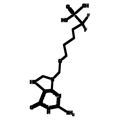 Nc1nc2c(c(=O)[nH]1)NCN2COCCCCC(F)(F)P(=O)(O)O